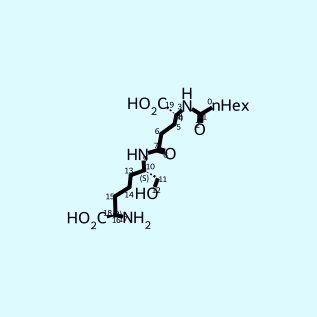 CCCCCCC(=O)N[C@H](CCC(=O)N[C@H](CO)CCC[C@@H](N)C(=O)O)C(=O)O